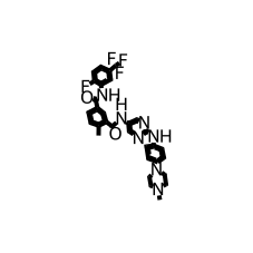 Cc1ccc(C(=O)Nc2cc(C(F)(F)F)ccc2F)cc1C(=O)Nc1cnc(Nc2ccc(N3CCN(C)CC3)cc2)nc1